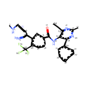 CN/C=C\C(=N)c1cc(C(=O)Nc2c(C)nc(C)nc2-c2ccccc2)ccc1C(F)(F)F